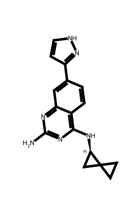 Nc1nc(N[C@@H]2CC23CC3)c2ccc(-c3cc[nH]n3)cc2n1